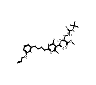 C=CCOc1cccc(CCCCc2nc(C)c(C(=O)N[C@@H](CNC(=O)OC(C)(C)C)C(=O)OC)c(C)n2)c1